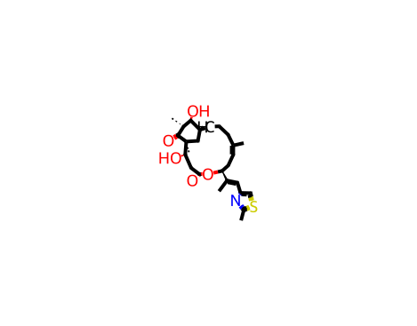 C/C1=C/C[C@@H](/C(C)=C/c2csc(C)n2)OC(=O)C[C@H](O)[C@]2(C)C[C@@H](CCC1)[C@H](O)[C@@H](C)C2=O